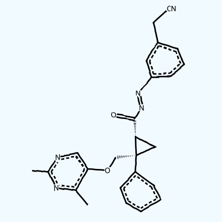 Cc1ncc(OC[C@@]2(c3ccccc3)C[C@H]2C(=O)N=Nc2cccc(CC#N)c2)c(C)n1